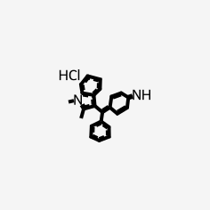 Cc1c(C(=C2C=CC(=N)C=C2)c2ccccc2)c2ccccc2n1C.Cl